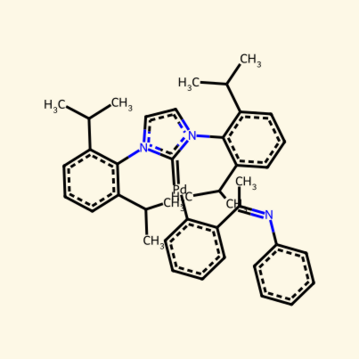 CC(=Nc1ccccc1)c1cccc[c]1[Pd]=[c]1n(-c2c(C(C)C)cccc2C(C)C)ccn1-c1c(C(C)C)cccc1C(C)C